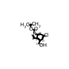 C=C(C)OC(=O)n1ccc2c(CO)cc(Cl)cc21